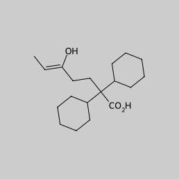 CC=C(O)CCC(C(=O)O)(C1CCCCC1)C1CCCCC1